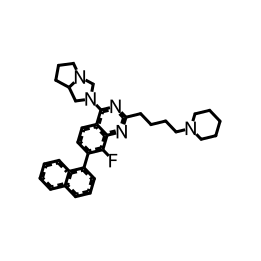 Fc1c(-c2cccc3ccccc23)ccc2c(N3CC4CCCN4C3)nc(CCCCN3CCCCC3)nc12